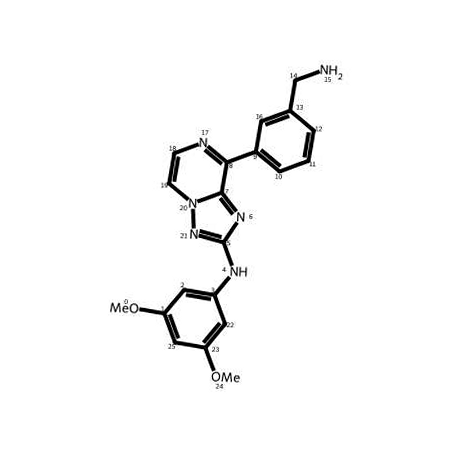 COc1cc(Nc2nc3c(-c4cccc(CN)c4)nccn3n2)cc(OC)c1